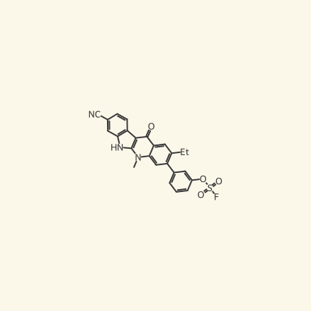 CCc1cc2c(=O)c3c4ccc(C#N)cc4[nH]c3n(C)c2cc1-c1cccc(OS(=O)(=O)F)c1